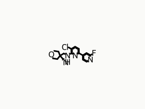 N#CC1(CNc2nc(-c3ccnc(F)c3)ccc2Cl)CCOCC1